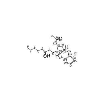 CCCCC[C@H](O)CC[C@@H]1[C@H]2Cc3cccc(C)c3C[C@H]2C[C@H]1OC(C)=O